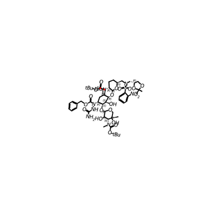 CN(C(=O)OC(C)(C)C)[C@@H]1[C@@H](O)[C@@H](O[C@@H]2[C@H](O)[C@@H](O[C@H]3O[C@H](CN(C[C@@H]4COC(C)(C)O4)S(=O)(=O)c4ccccc4[N+](=O)[O-])CC[C@H]3NC(=O)OC(C)(C)C)[C@@H](OC(C)(C)C)C[C@H]2N(NC(N)=O)C(=O)OCc2ccccc2)OC[C@]1(C)O